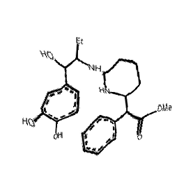 CCC(N)C(O)c1ccc(O)c(O)c1.COC(=O)C(c1ccccc1)C1CCCCN1